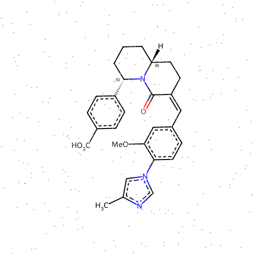 COc1cc(C=C2CC[C@H]3CCC[C@@H](c4ccc(C(=O)O)cc4)N3C2=O)ccc1-n1cnc(C)c1